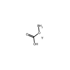 BOC(=O)O.[Y]